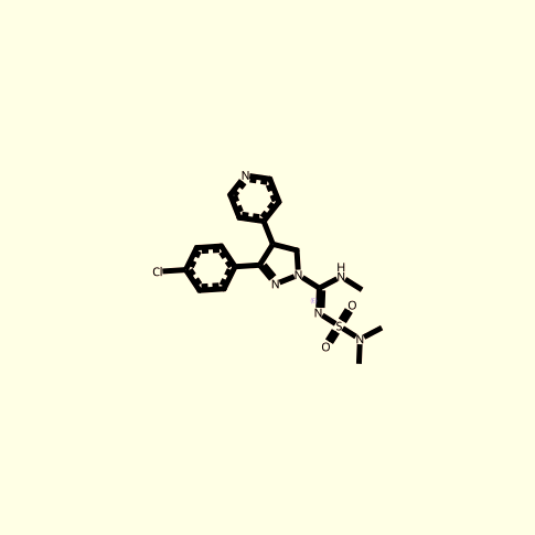 CN/C(=N\S(=O)(=O)N(C)C)N1CC(c2ccncc2)C(c2ccc(Cl)cc2)=N1